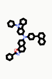 c1ccc(-c2nc3ccc4cc(N(c5ccc(-c6cccc7ccccc67)cc5)c5ccc6c(c5)c5ccccc5n6-c5ccccc5)ccc4c3o2)cc1